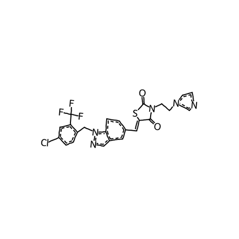 O=C1S/C(=C\c2ccc3c(cnn3Cc3ccc(Cl)cc3C(F)(F)F)c2)C(=O)N1CCn1ccnc1